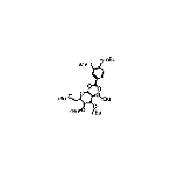 CCCCOCC1OC(OC(=O)c2ccc(OCCCC)c(OC)c2)C(OCCCC)C(OCCCC)C1OCCCC